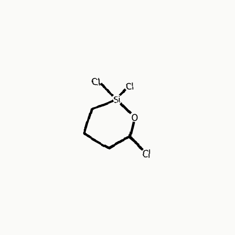 ClC1CCC[Si](Cl)(Cl)O1